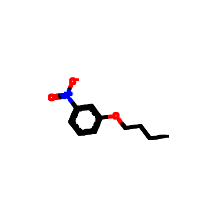 [CH2]CCCOc1cccc([N+](=O)[O-])c1